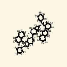 C1=C(c2ccc3cc(-c4ccccc4)n(-c4cccc5ccccc45)c3c2)CCc2cc(N(c3ccccc3)c3ccccc3)n(-c3cccc4ccccc34)c21